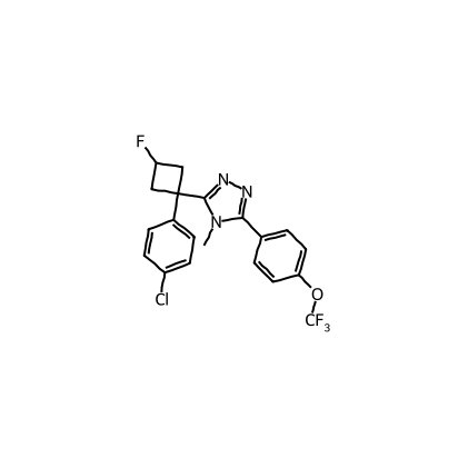 Cn1c(-c2ccc(OC(F)(F)F)cc2)nnc1C1(c2ccc(Cl)cc2)CC(F)C1